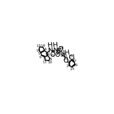 O=C(Nc1c2c(cc3c1CCC3)CCC2)NS(=O)(=O)NCCOc1ccccc1Cl